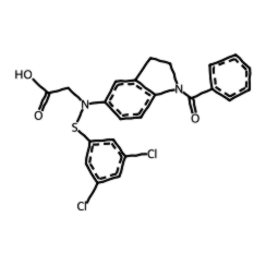 O=C(O)CN(Sc1cc(Cl)cc(Cl)c1)c1ccc2c(c1)CCN2C(=O)c1ccccc1